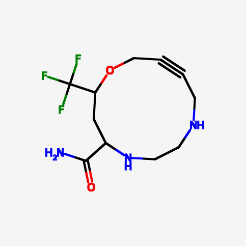 NC(=O)C1CC(C(F)(F)F)OCC#CCNCCN1